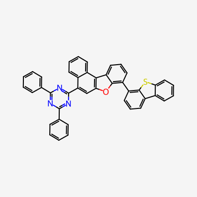 c1ccc(-c2nc(-c3ccccc3)nc(-c3cc4oc5c(-c6cccc7c6sc6ccccc67)cccc5c4c4ccccc34)n2)cc1